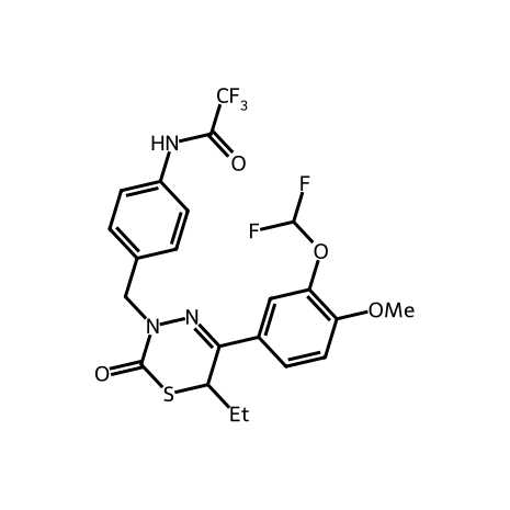 CCC1SC(=O)N(Cc2ccc(NC(=O)C(F)(F)F)cc2)N=C1c1ccc(OC)c(OC(F)F)c1